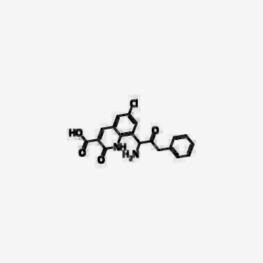 NC(C(=O)Cc1ccccc1)c1cc(Cl)cc2cc(C(=O)O)c(=O)[nH]c12